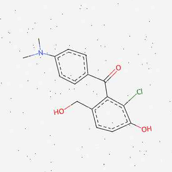 CN(C)c1ccc(C(=O)c2c(CO)ccc(O)c2Cl)cc1